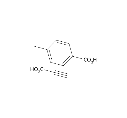 C#CC(=O)O.Cc1ccc(C(=O)O)cc1